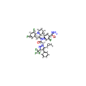 CCc1c(-c2ccccc2)c(C(F)(F)F)nn1CC(=O)N[C@@H](Cc1cc(F)cc(F)c1)c1ncccc1-c1ccc(F)c(C(N)=O)c1